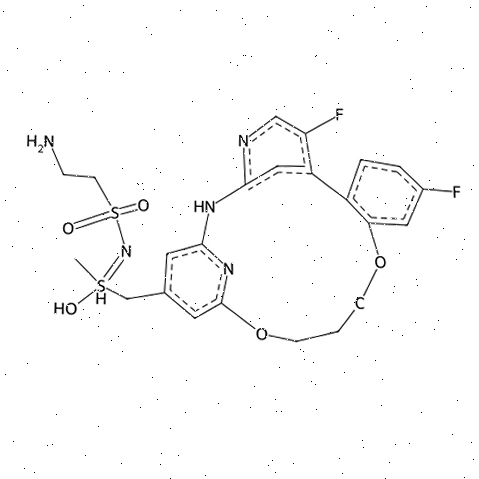 C[SH](O)(Cc1cc2nc(c1)OCCCOc1cc(F)ccc1-c1cc(ncc1F)N2)=NS(=O)(=O)CCN